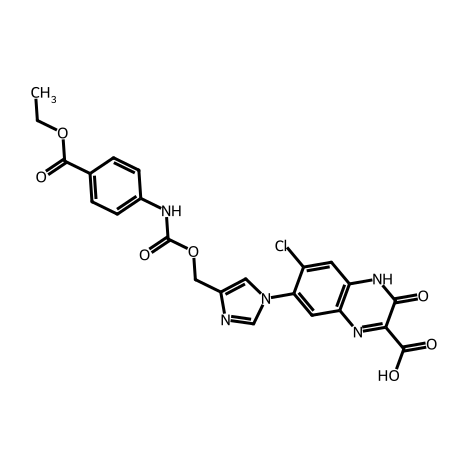 CCOC(=O)c1ccc(NC(=O)OCc2cn(-c3cc4nc(C(=O)O)c(=O)[nH]c4cc3Cl)cn2)cc1